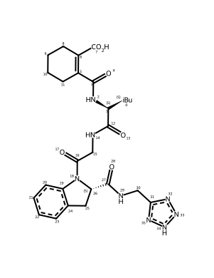 CC[C@H](C)[C@H](NC(=O)C1=C(C(=O)O)CCCC1)C(=O)NCC(=O)N1c2ccccc2C[C@H]1C(=O)NCc1nn[nH]n1